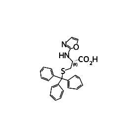 O=C(O)[C@H](CSC(c1ccccc1)(c1ccccc1)c1ccccc1)Nc1ncco1